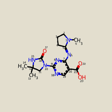 CN1CCCC1=Nc1nc(N2CC(C)(C)NC2=O)ncc1C(=O)O